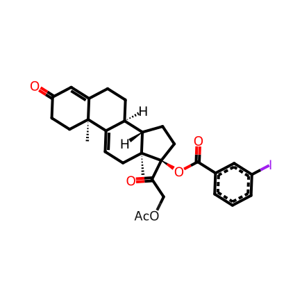 CC(=O)OCC(=O)[C@@]1(OC(=O)c2cccc(I)c2)CC[C@H]2[C@@H]3CCC4=CC(=O)CC[C@]4(C)C3=CC[C@@]21C